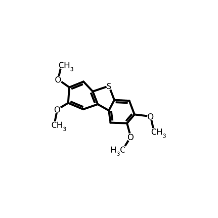 COc1cc2sc3cc(OC)c(OC)cc3c2cc1OC